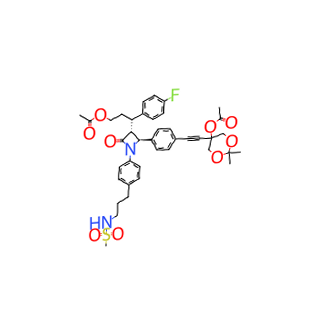 CC(=O)OCCC(c1ccc(F)cc1)[C@H]1C(=O)N(c2ccc(CCCNS(C)(=O)=O)cc2)[C@@H]1c1ccc(C#CC2(OC(C)=O)COC(C)(C)OC2)cc1